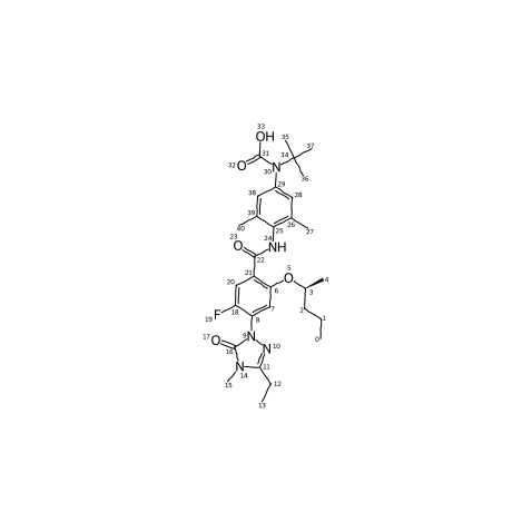 CCC[C@H](C)Oc1cc(-n2nc(CC)n(C)c2=O)c(F)cc1C(=O)Nc1c(C)cc(N(C(=O)O)C(C)(C)C)cc1C